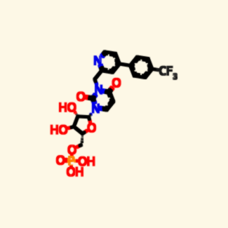 O=c1ccn([C@@H]2O[C@H](COP(=O)(O)O)C(O)[C@@H]2O)c(=O)n1Cc1cc(-c2ccc(C(F)(F)F)cc2)ccn1